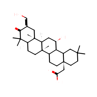 CC1(C)CC[C@]2(CC(=O)O)CC[C@]3(C)C(C2C1)[C@H](O)C[C@@H]1[C@@]2(C)C/C(=C/O)C(=O)C(C)(C)[C@@H]2CC[C@]13C